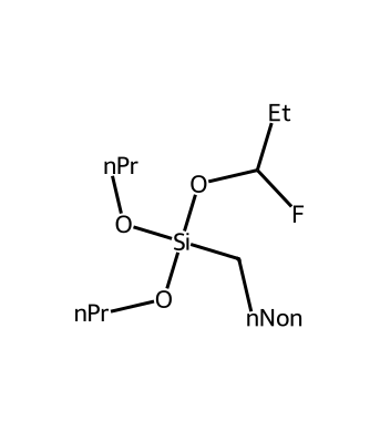 CCCCCCCCCC[Si](OCCC)(OCCC)OC(F)CC